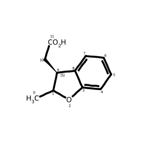 CC1Oc2ccccc2[C@@H]1CC(=O)O